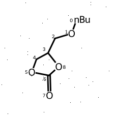 CCCCOCC1COC(=O)O1